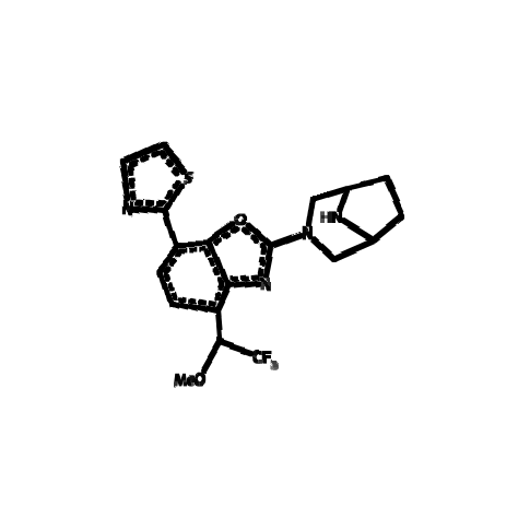 COC(c1ccc(-c2nccs2)c2oc(N3CC4CCC(C3)N4)nc12)C(F)(F)F